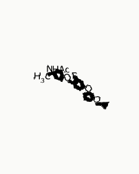 CC(=O)NC(C)c1ccc(OCc2ccc(Oc3cccc(OCC4CC4)c3)cc2F)cc1